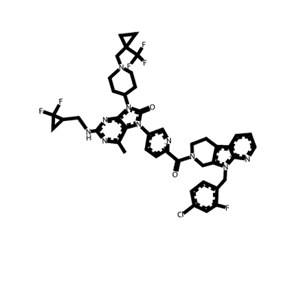 Cc1nc(NCC2CC2(F)F)nc2c1n(-c1ccc(C(=O)N3CCc4c(n(Cc5ccc(Cl)cc5F)c5ncccc45)C3)nc1)c(=O)n2C1CCN(CC2(C(F)(F)F)CC2)CC1